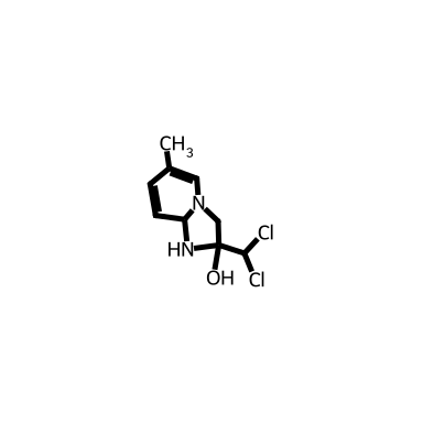 CC1=CN2CC(O)(C(Cl)Cl)NC2C=C1